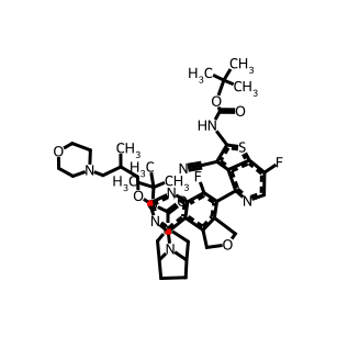 CC(COc1nc(N2C3CCC2CN(C(=O)OC(C)(C)C)C3)c2c3c(c(-c4ncc(F)c5sc(NC(=O)OC(C)(C)C)c(C#N)c45)c(F)c2n1)COC3)CN1CCOCC1